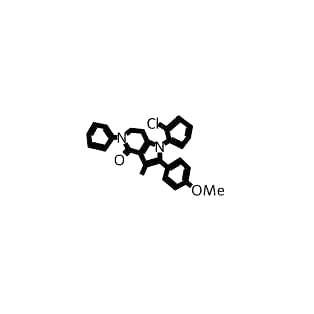 COc1ccc(-c2c(C)c3c(n2-c2ccccc2Cl)CCN(c2ccccc2)C3=O)cc1